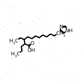 CCCCCCCCCC(CC)C(CCC)C(=O)O.c1c[nH]cn1